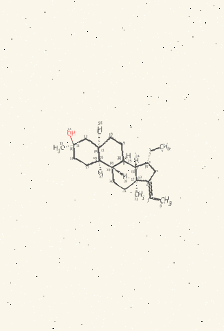 CC=C1C[C@@H](CC)[C@H]2[C@@H]3CC[C@@H]4C[C@](C)(O)CC[C@@H]4[C@H]3CC[C@]12C